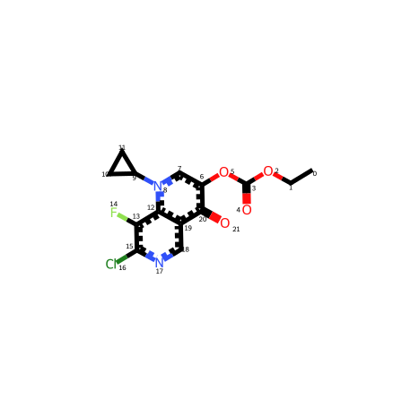 CCOC(=O)Oc1cn(C2CC2)c2c(F)c(Cl)ncc2c1=O